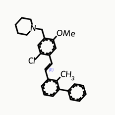 COc1cc(/C=C/c2cccc(-c3ccccc3)c2C)c(Cl)cc1CN1CCCCC1